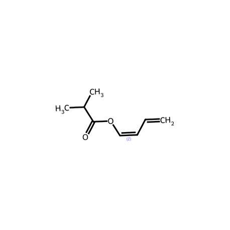 C=C/C=C\OC(=O)C(C)C